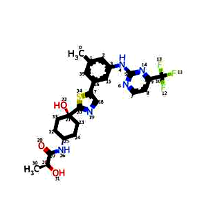 Cc1cc(Nc2nccc(C(F)(F)F)n2)cc(-c2cnc([C@]3(O)CC[C@H](NC(=O)[C@H](C)O)CC3)s2)c1